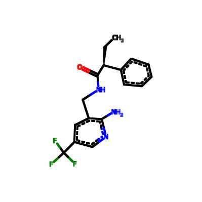 CC[C@H](C(=O)NCc1cc(C(F)(F)F)cnc1N)c1ccccc1